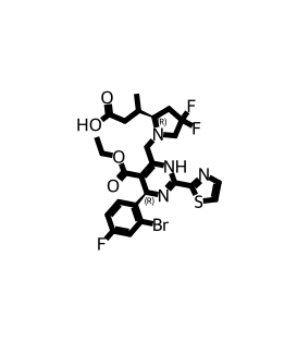 CCOC(=O)C1=C(CN2CC(F)(F)C[C@@H]2C(C)CC(=O)O)NC(c2nccs2)=N[C@H]1c1ccc(F)cc1Br